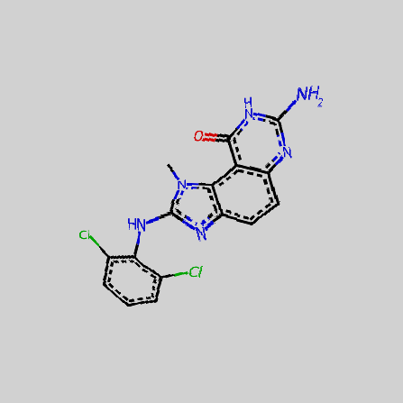 Cn1c(Nc2c(Cl)cccc2Cl)nc2ccc3nc(N)[nH]c(=O)c3c21